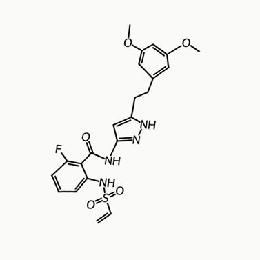 C=CS(=O)(=O)Nc1cccc(F)c1C(=O)Nc1cc(CCc2cc(OC)cc(OC)c2)[nH]n1